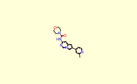 Cc1cc(-c2cc3cc(NC(=O)N4CCOCC4)ncn3c2)ccn1